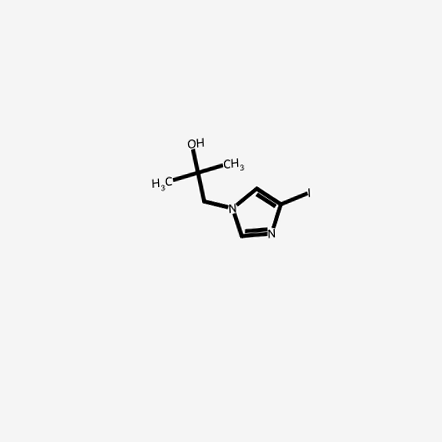 CC(C)(O)Cn1cnc(I)c1